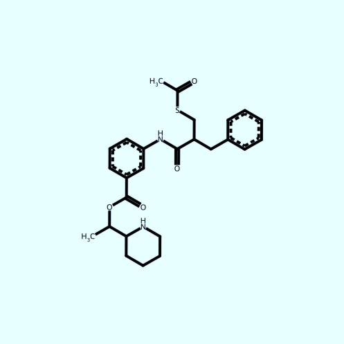 CC(=O)SCC(Cc1ccccc1)C(=O)Nc1cccc(C(=O)OC(C)C2CCCCN2)c1